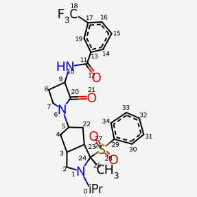 CC(C)N1CC2CC(N3CCC(NC(=O)c4cccc(C(F)(F)F)c4)C3=O)CC2C1(C)S(=O)(=O)c1ccccc1